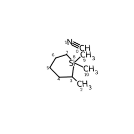 C#N.CC1CCCC[Si]1(C)C